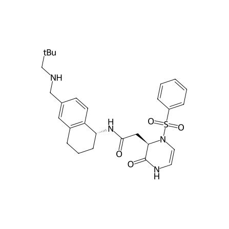 CC(C)(C)CNCc1ccc2c(c1)CCC[C@H]2NC(=O)C[C@@H]1C(=O)NC=CN1S(=O)(=O)c1ccccc1